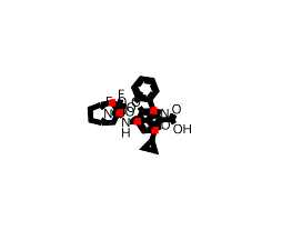 COc1cc(C(=O)O)ccc1NC(=O)N1C2CCC1CC(OCc1c(-c3ccccc3OC(F)(F)F)noc1C1CC1)C2